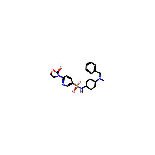 CN(Cc1ccccc1)C1CCC(NS(=O)(=O)c2ccc(N3CCOC3=O)nc2)CC1